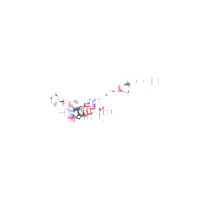 CC(C)(C)OC(=O)N(CCCCCCOc1cccc(C(=O)O)c1)C[C@H](O[Si](C)(C)C(C)(C)C)c1ccc(OCc2ccccc2)c2[nH]c(=O)ccc12